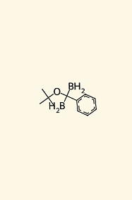 BC(B)(OC(C)(C)C)c1ccccc1